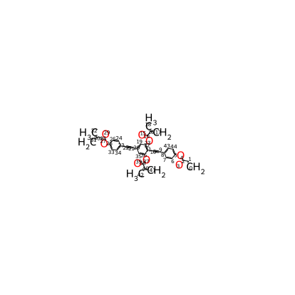 C=CC(=O)Oc1ccc(C#Cc2c(OC(=O)C(=C)C)cc(C#Cc3ccc(OC(=O)C(=C)C)cc3)cc2OC(=O)C(=C)C)cc1